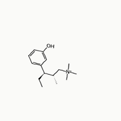 CC[C@@H](c1cccc(O)c1)[C@@H](C)C[N+](C)(C)C